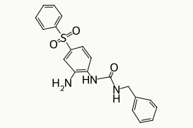 Nc1cc(S(=O)(=O)c2ccccc2)ccc1NC(=O)NCc1ccccc1